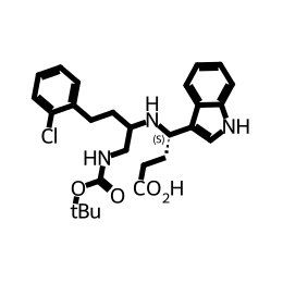 CC(C)(C)OC(=O)NCC(CCc1ccccc1Cl)N[C@@H](CCC(=O)O)c1c[nH]c2ccccc12